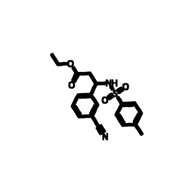 CCOC(=O)CC(NS(=O)(=O)c1ccc(C)cc1)c1cccc(C#N)c1